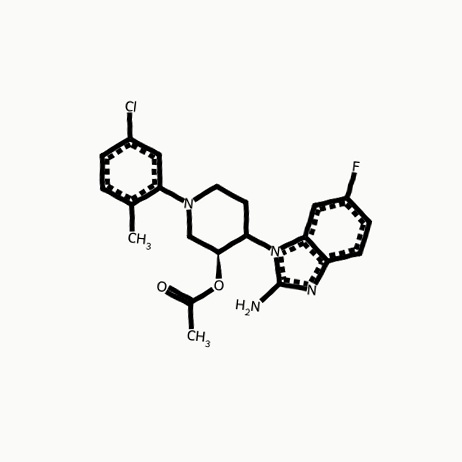 CC(=O)O[C@H]1CN(c2cc(Cl)ccc2C)CCC1n1c(N)nc2ccc(F)cc21